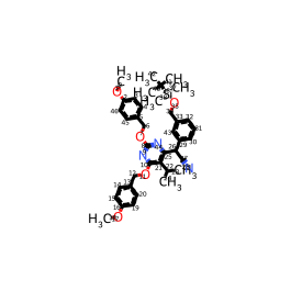 COc1ccc(COc2nc(OCc3ccc(OC)cc3)c(C(C)C)c(C(C#N)c3cccc(CO[Si](C)(C)C(C)(C)C)c3)n2)cc1